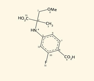 COCC(C)(Nc1ccc(C(=O)O)c(F)c1)C(=O)O